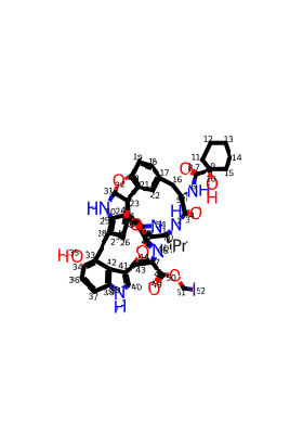 CC(C)[C@@H]1NC(=O)[C@@H](NC(=O)C2(O)CCCCC2)Cc2ccc3c(c2)C24c5cccc(c5NC2O3)-c2c(O)ccc3[nH]cc(c23)-c2oc(nc2C(=O)OCI)-c2nc1oc24